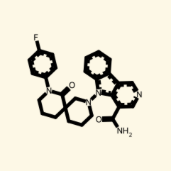 NC(=O)c1cncc2c3ccccc3n(N3CCCC4(CCCN(c5ccc(F)cc5)C4=O)C3)c12